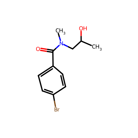 CC(O)CN(C)C(=O)c1ccc(Br)cc1